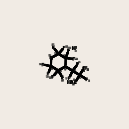 F.O=C(O)C(F)(C(F)(F)F)C(F)(F)N1C(F)(F)C(F)(F)OC(F)(F)C1(F)F